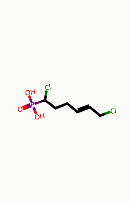 O=P(O)(O)C(Cl)CCC=CCCl